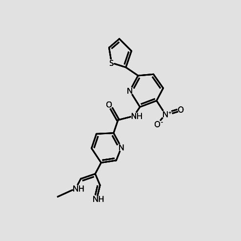 CN/C=C(\C=N)c1ccc(C(=O)Nc2nc(-c3cccs3)ccc2[N+](=O)[O-])nc1